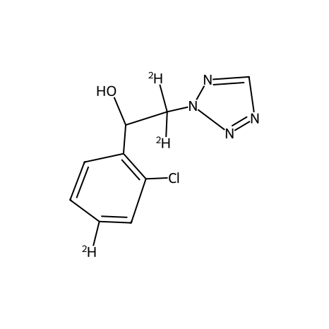 [2H]c1ccc(C(O)C([2H])([2H])n2ncnn2)c(Cl)c1